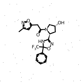 Cc1cc(CC(=O)N2C[C@H](O)C[C@H]2C2=NOC(c3ccccc3)(C(F)(F)F)N2)on1